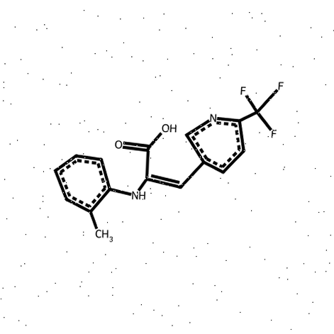 Cc1ccccc1N/C(=C/c1ccc(C(F)(F)F)nc1)C(=O)O